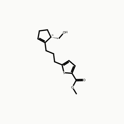 COC(=O)c1ccc(CCCC2=CCC[C@@H]2CO)s1